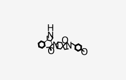 COc1ccc(CN2CCC3(CCN(C(C(C)=O)[C@@H]4CNC[C@@H]4c4ccccc4)CC3)C2=O)cc1